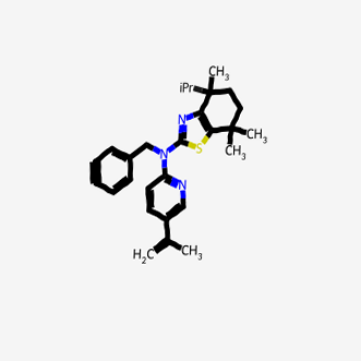 C=C(C)c1ccc(N(Cc2cc#ccc2)c2nc3c(s2)C(C)(C)CCC3(C)C(C)C)nc1